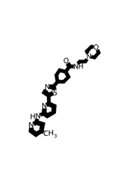 Cc1ccnc(Nc2cccc(-c3cnc(C4CCC(C(=O)NCCN5CCOCC5)CC4)s3)n2)c1